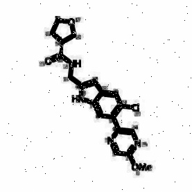 COc1cnc(-c2cc3[nH]c(CNC(=O)[C@H]4CCOC4)cc3cc2Cl)cn1